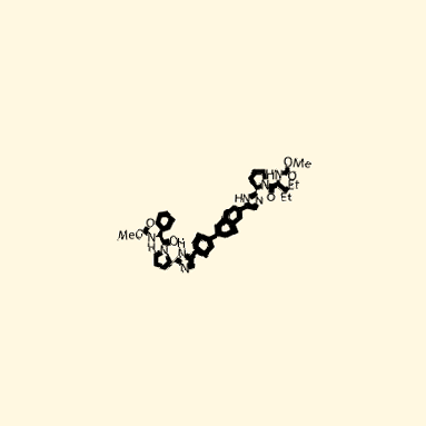 CCC(CC)C(NC(=O)OC)C(=O)N1CCC[C@H]1c1ncc(-c2ccc3cc(-c4ccc(-c5cnc([C@@H]6CCCN6C(=O)[C@H](NC(=O)OC)c6ccccc6)[nH]5)cc4)ccc3c2)[nH]1